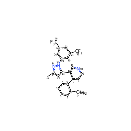 COc1ccccc1-c1ccncc1-c1cc(C)nn1-c1cc(C(F)(F)F)cc(C(F)(F)F)c1